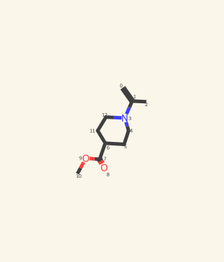 C=C(C)N1CCC(C(=O)OC)CC1